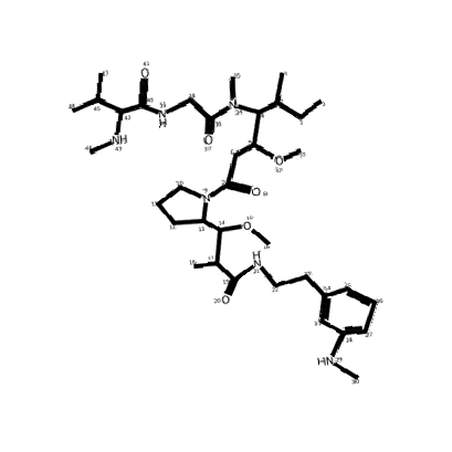 CCC(C)C(C(CC(=O)N1CCCC1C(OC)C(C)C(=O)NCCc1cccc(NC)c1)OC)N(C)C(=O)CNC(=O)C(NC)C(C)C